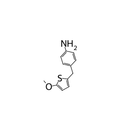 COc1ccc(Cc2ccc(N)cc2)s1